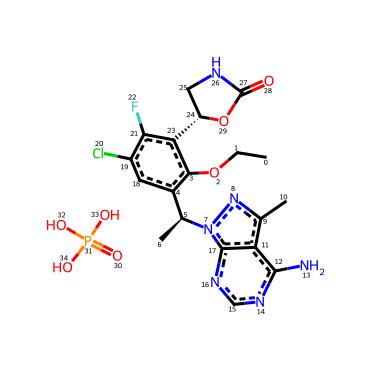 CCOc1c([C@H](C)n2nc(C)c3c(N)ncnc32)cc(Cl)c(F)c1[C@@H]1CNC(=O)O1.O=P(O)(O)O